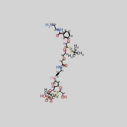 CSS[C@H](CO)O[C@@H]1C[C@H](BC#CCNC(=O)COCCOC(COc2cccc(C(=O)NCCN)c2)SSC(C)(C)C)OC1COC(C)(C)P(=O)(O)O